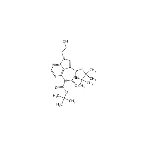 CC(C)(C)OC(=O)N(C(=O)O)c1ncnc2c1c(B1OC(C)(C)C(C)(C)O1)cn2CCO